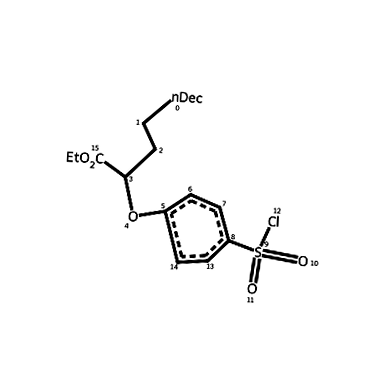 CCCCCCCCCCCCC(Oc1ccc(S(=O)(=O)Cl)cc1)C(=O)OCC